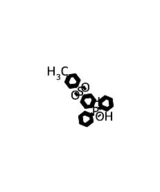 Cc1ccc(S(=O)(=O)c2ccc([PH](O)(c3ccccc3)c3ccccc3)cc2)cc1